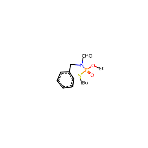 CCOP(=O)(SC(C)CC)N(C=O)Cc1ccccc1